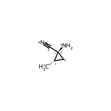 C[C@H]1C[C@@]1(N)C#N